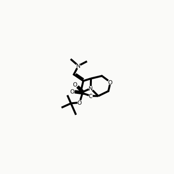 CN(C)C=C1C(=O)CC2COCC1N2C(=O)OC(C)(C)C